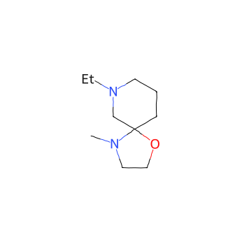 CCN1CCCC2(C1)OCCN2C